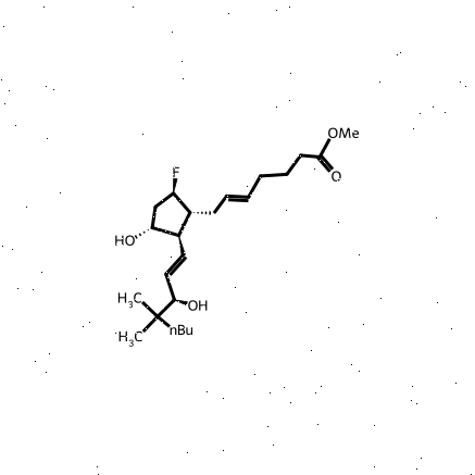 CCCCC(C)(C)[C@H](O)C=C[C@@H]1[C@@H](CC=CCCCC(=O)OC)[C@H](F)C[C@H]1O